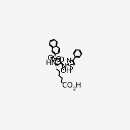 O=C(O)CCCCC[C@H](NS(=O)(=O)c1ccc2ccccc2c1)C(=O)N(O)c1nc(-c2ccccc2)cs1